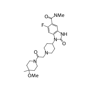 CNC(=O)c1cc2[nH]c(=O)n(C3CCN(CC(=O)N4CCC(C)(OC)CC4)CC3)c2cc1F